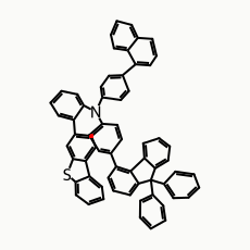 c1ccc(C2(c3ccccc3)c3ccccc3-c3c(-c4ccc(N(c5ccc(-c6cccc7ccccc67)cc5)c5ccccc5-c5ccc6c(c5)sc5ccccc56)cc4)cccc32)cc1